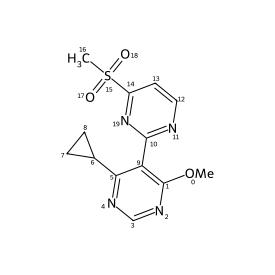 COc1ncnc(C2CC2)c1-c1nccc(S(C)(=O)=O)n1